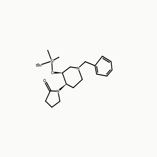 CC(C)(C)[Si](C)(C)O[C@H]1CN(Cc2ccccc2)CC[C@H]1N1CCCC1=O